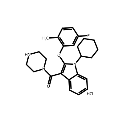 Cc1ccc(F)cc1Oc1c(C(=O)N2CCNCC2)c2ccccc2n1C1CCCCC1.Cl